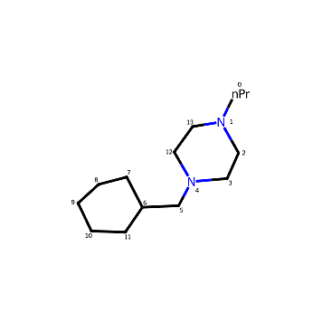 [CH2]CCN1CCN(CC2CCCCC2)CC1